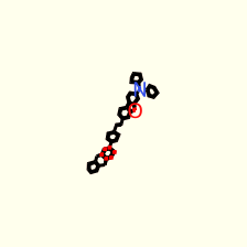 C(=C\c1ccc2c(c1)oc1cc(N(c3ccccc3)c3ccccc3)ccc12)/c1ccc(-c2ccc3c(c2)C2c4ccccc4C3c3ccccc32)cc1